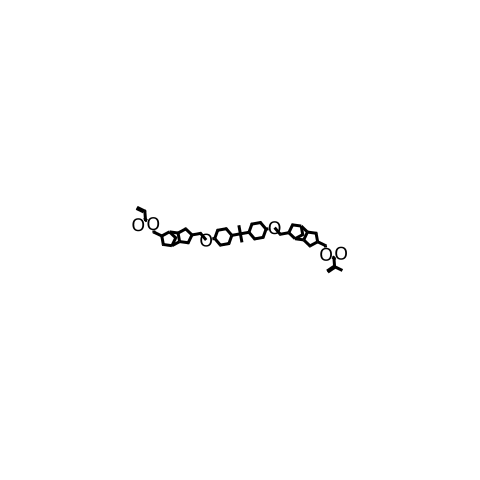 C=CC(=O)OCC1CC2CC1C1CC(COC3CCC(C(C)(C)C4CCC(OCC5CC6CC5C5CC(COC(=O)C(=C)C)CC65)CC4)CC3)CC21